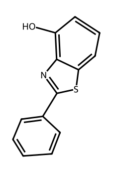 Oc1cccc2sc(-c3ccccc3)nc12